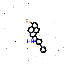 Brc1ccc2ccc3c4c(cc5ccc1c2c53)[nH]c1cc(-c2ccccc2)ccc14